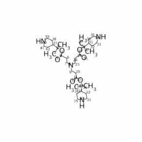 CC(C)(OC(=O)CCN(CCC(=O)OC(C)(C)C1CCNCC1)CCC(=O)OC(C)(C)C1CCNCC1)C1CCNCC1